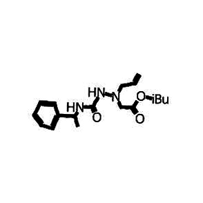 C=CCN(CC(=O)OC(C)CC)NC(=O)NC(C)c1ccccc1